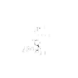 CCCCNc1nc(N)nc2c1ncn2C[C@@H](C)OCP(=O)(O)O